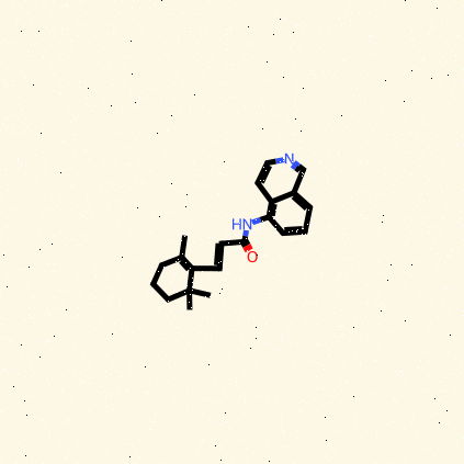 CC1=C(C=CC(=O)Nc2cccc3cnccc23)C(C)(C)CCC1